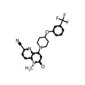 Cn1c(=O)cc(N2CCC(Oc3cccc(C(F)(F)F)c3)CC2)c2nc(C#N)ccc21